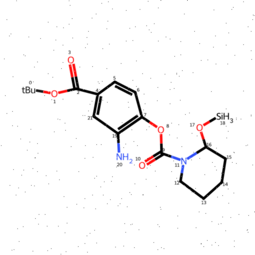 CC(C)(C)OC(=O)c1ccc(OC(=O)N2CCCCC2O[SiH3])c(N)c1